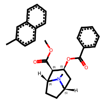 COC(=O)[C@H]1[C@@H](OC(=O)c2ccccc2)C[C@@H]2CC[C@H]1N2C.Cc1ccc2ccccc2c1